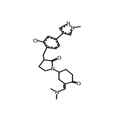 CN(C)C=C1CC(N2CCC(Cc3ccc(-c4cnn(C)c4)cc3Cl)C2=O)CCC1=O